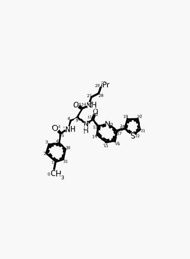 Cc1ccc(C(=O)NC[C@H](NC(=O)c2cccc(-c3cccs3)n2)C(=O)NCCC(C)C)cc1